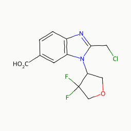 O=C(O)c1ccc2nc(CCl)n(C3COCC3(F)F)c2c1